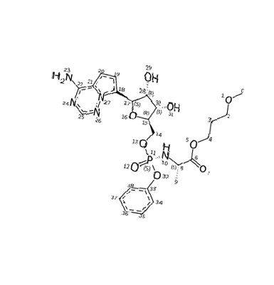 COCCCOC(=O)[C@H](C)N[P@](=O)(OC[C@H]1O[C@@H](c2ccc3c(N)ncnn23)[C@H](O)[C@@H]1O)Oc1ccccc1